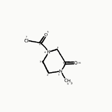 CN1CCN(C(=O)Cl)CC1=O